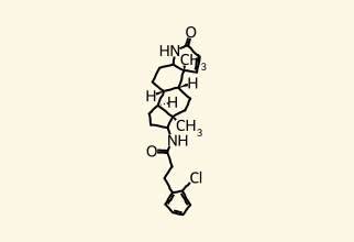 C[C@]12C=CC(=O)NC1CC[C@@H]1[C@H]2CC[C@]2(C)C(NC(=O)CCc3ccccc3Cl)CC[C@@H]12